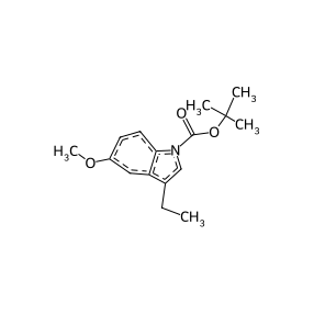 CCc1cn(C(=O)OC(C)(C)C)c2ccc(OC)cc12